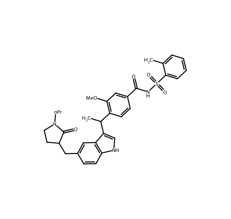 CCCN1CCC(Cc2ccc3[nH]cc(C(C)c4ccc(C(=O)NS(=O)(=O)c5ccccc5C)cc4OC)c3c2)C1=O